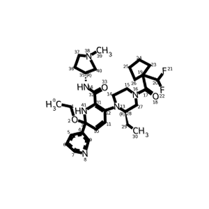 CCOC1(c2cccnc2)C=CC(N2CCN(C(=O)C3(C(F)F)CCCC3)C[C@H]2CC)=C(C(=O)N[C@@H]2CCN(C)C2)N1